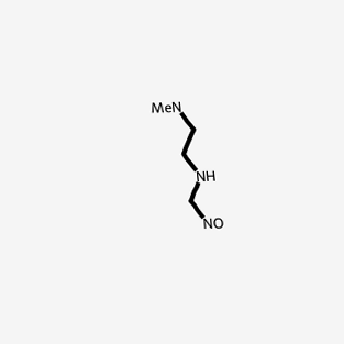 CNCCNCN=O